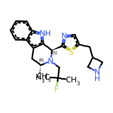 C[C@@H]1Cc2c([nH]c3ccccc23)[C@@H](c2ncc(CC3CNC3)s2)N1CC(C)(C)F